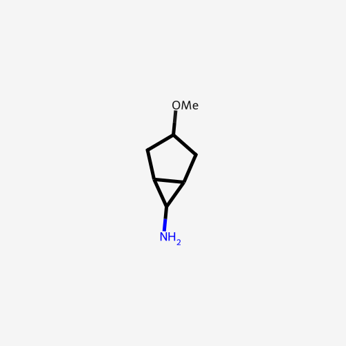 COC1CC2C(N)C2C1